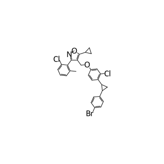 Cc1cccc(Cl)c1-c1noc(C2CC2)c1COc1ccc(C2CC2c2ccc(Br)cc2)c(Cl)c1